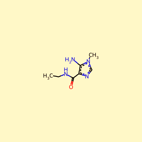 CCNC(=O)c1ncn(C)c1N